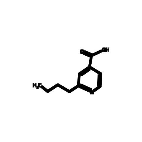 CCCCc1cc(C(=O)O)ccn1